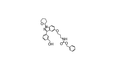 O=C(NCCCOc1ccc2c(c1)c(-c1cccc(CO)c1)nn2C1CCCCO1)OCc1ccccc1